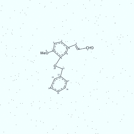 COc1ccc(C=CC=O)cc1OCc1ccccc1